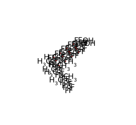 CCCN(CCC)c1c(F)c(C)c(F)c(F)c1F.CCCN(CCC)c1c(F)c(C)c(F)c(F)c1F.CCCN(CCC)c1c(F)c(C)c(F)c(F)c1F.Fc1c(F)c(F)c(-c2c(F)c(F)c(F)c(F)c2F)c(F)c1F.Fc1c(F)c(F)c(-c2c(F)c(F)c(F)c(F)c2F)c(F)c1F.Fc1c(F)c(F)c(-c2c(F)c(F)c(F)c(F)c2F)c(F)c1F.Fc1c(F)c(F)c(-c2c(F)c(F)c(F)c(F)c2F)c(F)c1F.OB(O)O